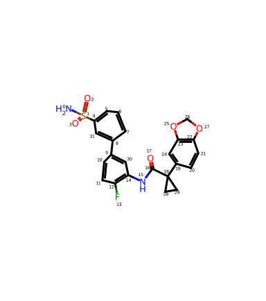 NS(=O)(=O)c1cccc(-c2ccc(F)c(NC(=O)C3(c4ccc5c(c4)OCO5)CC3)c2)c1